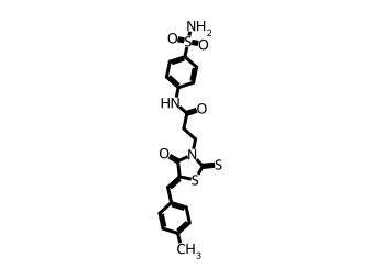 Cc1ccc(/C=C2\SC(=S)N(CCC(=O)Nc3ccc(S(N)(=O)=O)cc3)C2=O)cc1